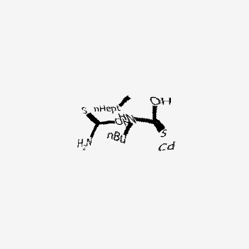 CCCCCCCC.CCCCNC(O)=S.NC(O)=S.[Cd]